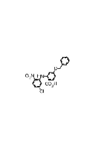 O=C(O)c1c(Cl)ccc([N+](=O)[O-])c1Nc1cccc(OCc2ccccc2)c1